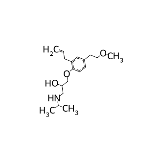 C=CCc1cc(CCOC)ccc1OCC(O)CNC(C)C